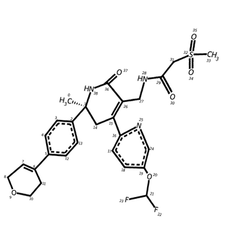 C[C@@]1(c2ccc(C3=CCOCC3)cc2)CC(c2ccc(OC(F)F)cn2)=C(CNC(=O)CS(C)(=O)=O)C(=O)N1